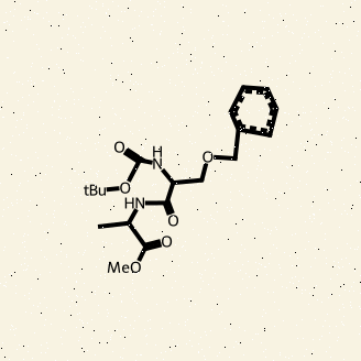 COC(=O)C(C)NC(=O)C(COCc1ccccc1)NC(=O)OC(C)(C)C